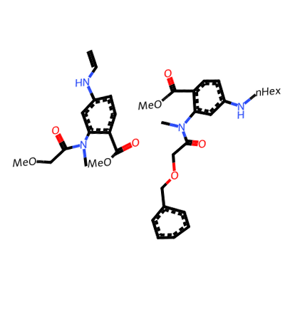 C=CNc1ccc(C(=O)OC)c(N(C)C(=O)COC)c1.CCCCCCNc1ccc(C(=O)OC)c(N(C)C(=O)COCc2ccccc2)c1